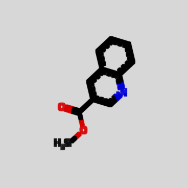 O=C(O[SiH3])c1cnc2ccccc2c1